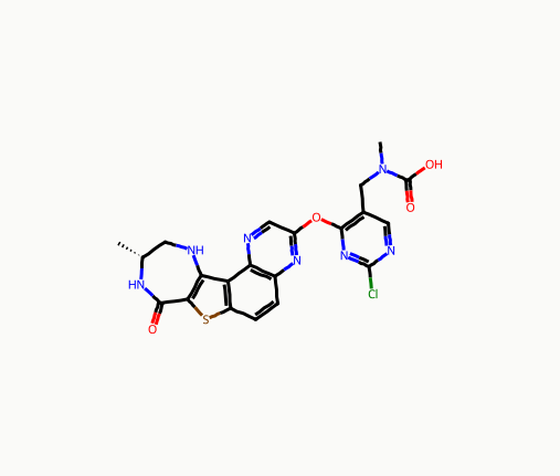 C[C@@H]1CNc2c(sc3ccc4nc(Oc5nc(Cl)ncc5CN(C)C(=O)O)cnc4c23)C(=O)N1